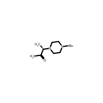 C[C@H](C(N)=O)N1CCN(C(C)(C)C)CC1